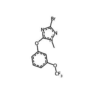 Cn1nc(Br)nc1Oc1cccc(OC(F)(F)F)c1